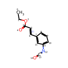 CCOC(=O)/C=C/c1cccc(N=C=O)c1